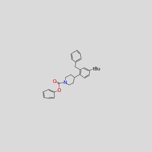 CC(C)(C)c1ccc(C2CCN(C(=O)Oc3ccccc3)CC2)c(Cc2ccccc2)c1